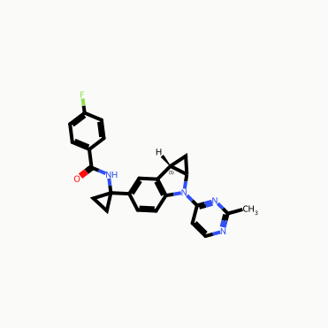 Cc1nccc(N2c3ccc(C4(NC(=O)c5ccc(F)cc5)CC4)cc3[C@@H]3CC32)n1